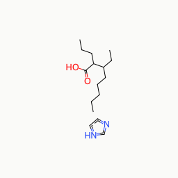 CCCCCC(CC)C(CCC)C(=O)O.c1c[nH]cn1